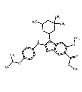 COC(=O)c1cc2nc(Nc3ccc(OC(C)C)cc3)n(C3CC(C)CC(C)(C)C3)c2cc1OC